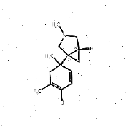 CN1C[C@@H]2C[C@]2(C2(C)C=CC(Cl)=C(C(F)(F)F)C2)C1